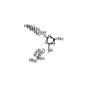 O.O.O.O.O.O.O.O.O.Sc1nc(S)nc(S)n1.[NaH].[NaH].[NaH]